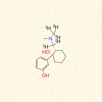 [2H]C([2H])([2H])N(C)C([2H])([2H])[C@@H]1CCCC[C@@]1(O)c1cccc(O)c1